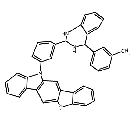 Cc1cccc(C2NC(c3cccc(-n4c5ccccc5c5cc6oc7ccccc7c6cc54)c3)Nc3ccccc32)c1